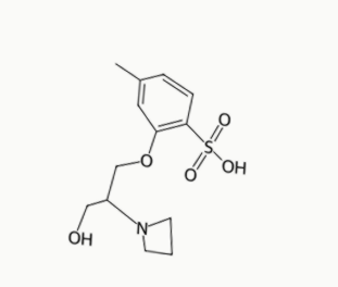 Cc1ccc(S(=O)(=O)O)c(OCC(CO)N2CCC2)c1